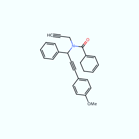 C#CCN(C(=O)C1=CC=CCC1)C(C#Cc1ccc(OC)cc1)c1ccccc1